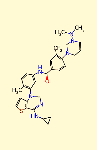 Cc1ccc(NC(=O)c2ccc(N3CC=CN(N(C)C)C3)c(C(F)(F)F)c2)cc1N1CN=C(NC2CC2)c2sccc21